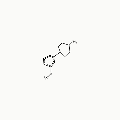 NC1CCC(c2cccc(OC(F)(F)F)c2)CC1